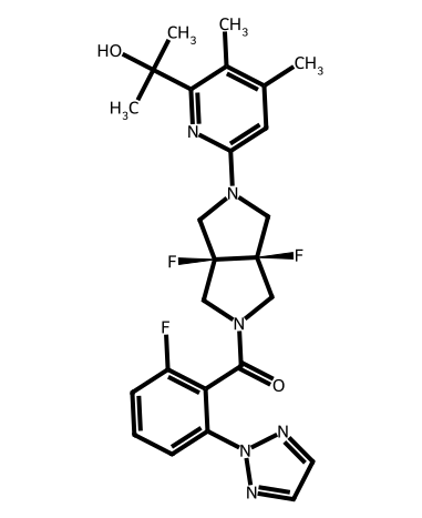 Cc1cc(N2C[C@]3(F)CN(C(=O)c4c(F)cccc4-n4nccn4)C[C@]3(F)C2)nc(C(C)(C)O)c1C